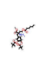 CCCCCC(=O)OCC[C@@](N)(Cc1ccc(OC(=O)C(C)(C)C)c(OC(=O)C(C)(C)C)c1)C(=O)OC